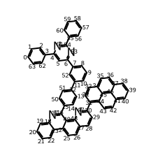 c1ccc(-c2cc(-c3cccc(-c4ccc(-c5nc6ccccc6c6ccc7ccc(-c8ccc9ccc%10cccc%11ccc8c9c%10%11)nc7c56)cc4)c3)nc(-c3ccccc3)n2)cc1